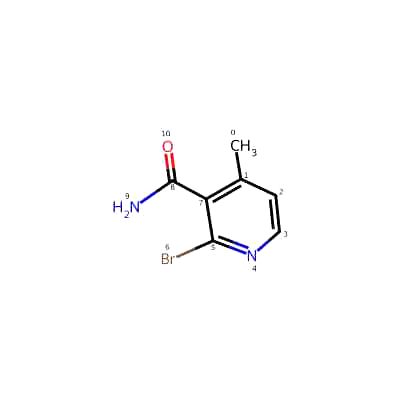 Cc1ccnc(Br)c1C(N)=O